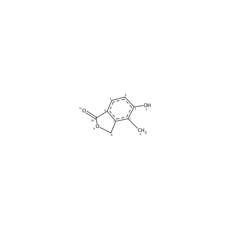 Cc1c(O)ccc2c1COC2=O